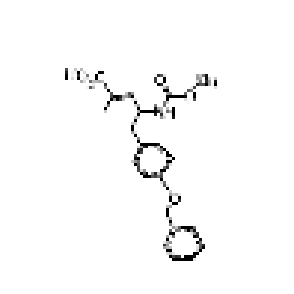 CC(=CC(Cc1ccc(OCc2ccccc2)cc1)NC(=O)OC(C)(C)C)C(=O)O